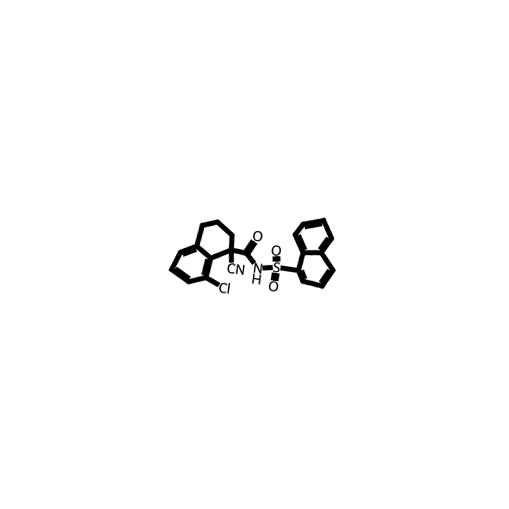 N#CC1(C(=O)NS(=O)(=O)c2cccc3ccccc23)CCCc2cccc(Cl)c21